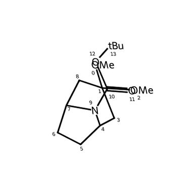 COC1(OC)CC2CCC(C1)N2C(=O)OC(C)(C)C